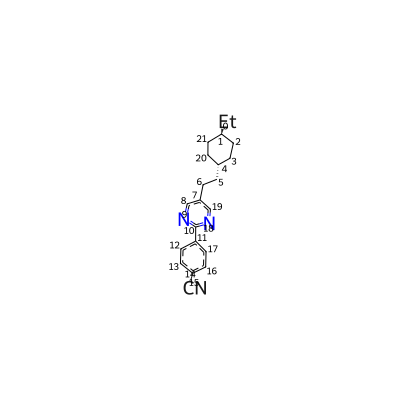 CC[C@H]1CC[C@H](CCc2cnc(-c3ccc(C#N)cc3)nc2)CC1